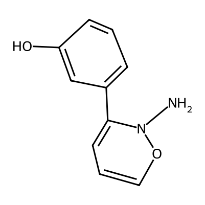 NN1OC=CC=C1c1cccc(O)c1